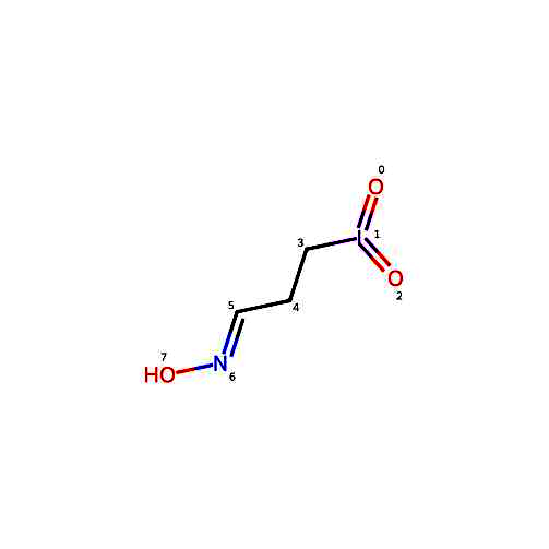 O=I(=O)CCC=NO